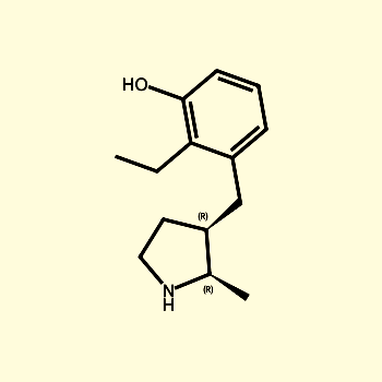 CCc1c(O)cccc1C[C@@H]1CCN[C@@H]1C